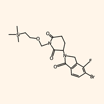 C[Si](C)(C)CCOCN1C(=O)CCC(N2Cc3c(ccc(Br)c3F)C2=O)C1=O